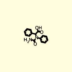 NC(=O)N(c1ccccc1)C(C(=O)O)c1ccccc1